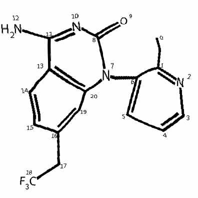 Cc1ncccc1-n1c(=O)nc(N)c2ccc(CC(F)(F)F)cc21